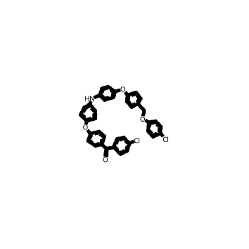 O=C(c1ccc(Cl)cc1)c1ccc(Oc2ccc(Nc3ccc(Oc4ccc(COc5ccc(Cl)cc5)cc4)cc3)cc2)cc1